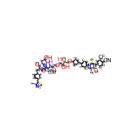 Cc1ncsc1-c1ccc(CNC(=O)[C@@H]2C[C@@H](O)CN2C(=O)C(NC(=O)COC[C@H](O)[C@@H](O)COc2ccc(-c3ccc(N4C(=S)N(c5ccc(C#N)c(C(F)(F)F)c5)C(=O)C4(C)C)cc3)cc2)C(C)(C)C)cc1